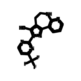 Oc1c2c(nn1-c1nccc(C(F)(F)F)n1)-c1cccnc1NCC2